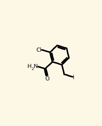 NC(=O)c1c(Cl)cccc1CI